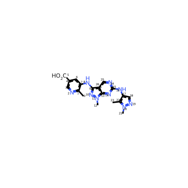 Cc1ncc(C(=O)O)cc1Nc1nn(C)c2nc(Nc3cnn(C)c3C)ncc12